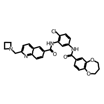 O=C(Nc1ccc(Cl)c(NC(=O)c2ccc3nc(CN4CCC4)ccc3c2)c1)c1ccc2c(c1)OCCCO2